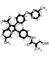 C=C(COC)C(=O)Nc1ccc(-c2c(-c3ccc(Oc4nccc(C)n4)cc3)c(C(N)=O)c3cnc(C)cn23)cc1